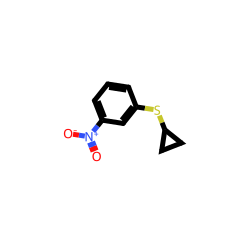 O=[N+]([O-])c1cccc(SC2CC2)c1